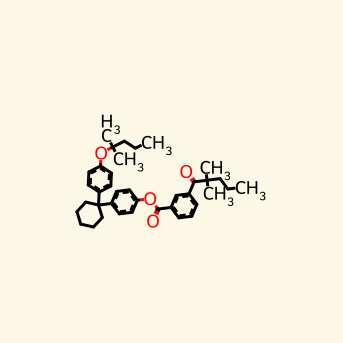 CCCC(C)(C)Oc1ccc(C2(c3ccc(OC(=O)c4cccc(C(=O)C(C)(C)CCC)c4)cc3)CCCCC2)cc1